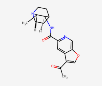 CC(=O)c1coc2cnc(C(=O)N[C@@H]3C4CCN(CC4)[C@H]3C)cc12